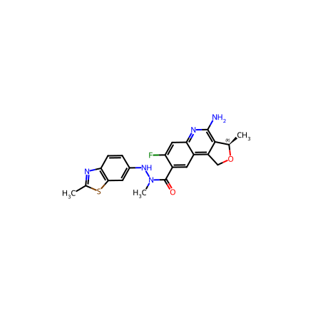 Cc1nc2ccc(NN(C)C(=O)c3cc4c5c(c(N)nc4cc3F)[C@@H](C)OC5)cc2s1